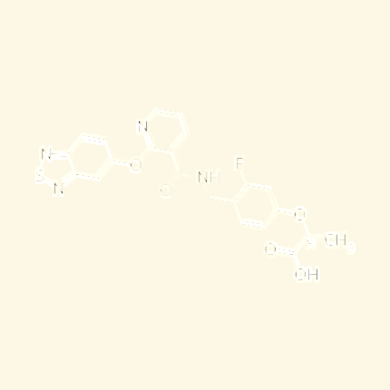 C[C@@H](Oc1ccc(CNC(=O)c2cccnc2Oc2ccc3nsnc3c2)c(F)c1)C(=O)O